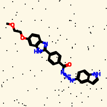 COCCOc1ccc2nc(-c3ccc(C(=O)N=[N+]=Nc4ccc5[nH]ccc5c4)cc3)[nH]c2c1